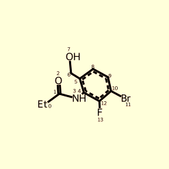 CCC(=O)Nc1c(CO)ccc(Br)c1F